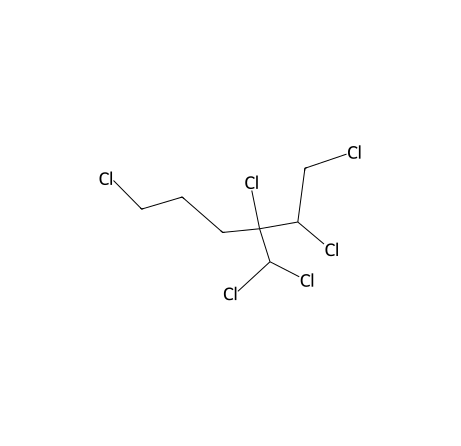 ClCCCC(Cl)(C(Cl)Cl)C(Cl)CCl